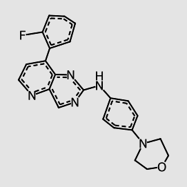 Fc1ccccc1-c1ccnc2cnc(Nc3ccc(N4CCOCC4)cc3)nc12